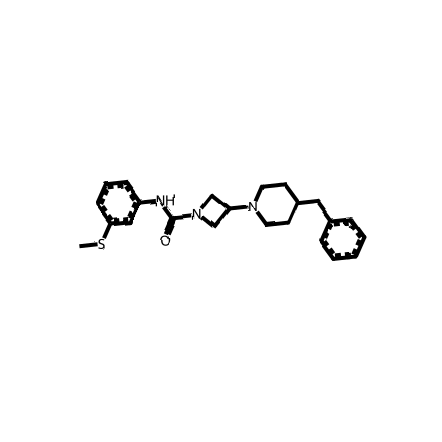 CSc1cccc(NC(=O)N2CC(N3CCC(Cc4ccccc4)CC3)C2)c1